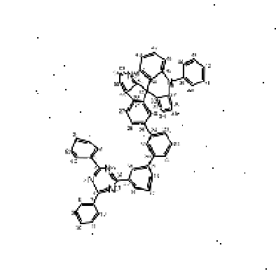 c1ccc(-c2nc(-c3ccccc3)nc(-c3cccc(-c4cccc(-c5ccc6c(c5)C5(c7ccccc7N(c7ccccc7)c7ccccc75)c5ncccc5-6)c4)c3)n2)cc1